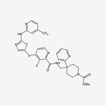 COC(=O)N1CCC(CNC(=O)c2nccc(Sc3cnc(Nc4cc(C)ccn4)s3)c2F)(c2ccccn2)CC1